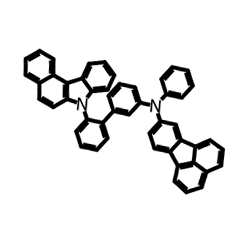 c1ccc(N(c2cccc(-c3ccccc3-n3c4ccccc4c4c5ccccc5ccc43)c2)c2ccc3c(c2)-c2cccc4cccc-3c24)cc1